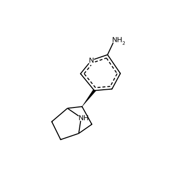 Nc1ccc([C@H]2CC3CCC2N3)cn1